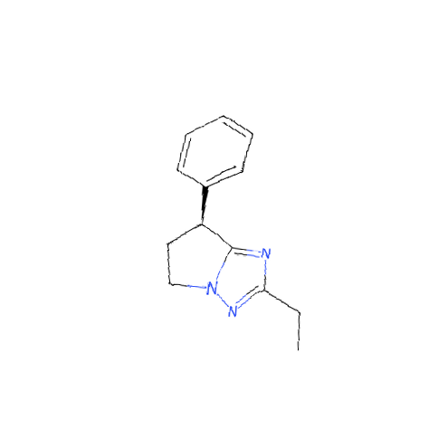 CCc1nc2n(n1)CC[C@H]2c1ccccc1